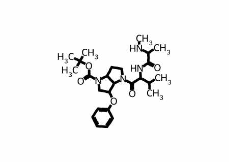 CNC(C)C(=O)NC(C(=O)N1CCC2C1C(Oc1ccccc1)CN2C(=O)OC(C)(C)C)C(C)C